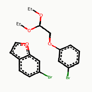 Brc1ccc2ccoc2c1.CCOC(COc1cccc(Br)c1)OCC